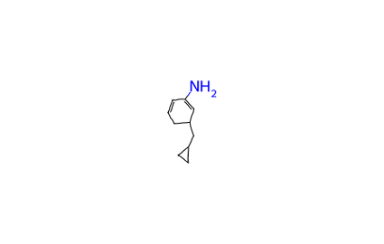 NC1=CC(CC2CC2)CC=C1